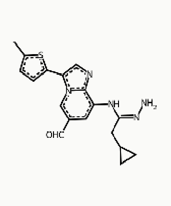 Cc1ccc(-c2cnc3c(N/C(CC4CC4)=N\N)cc(C=O)cn23)s1